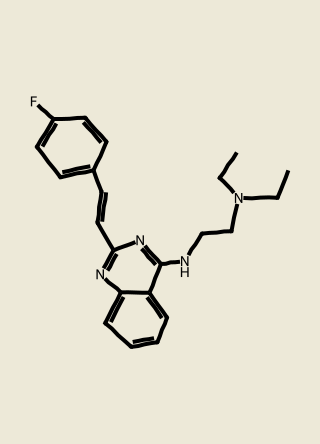 CCN(CC)CCNc1nc(C=Cc2ccc(F)cc2)nc2ccccc12